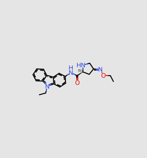 CCON=C1CN[C@H](C(=O)Nc2ccc3c(c2)c2ccccc2n3CC)C1